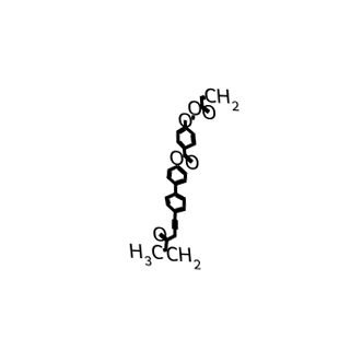 C=CC(=O)OCOc1ccc(C(=O)Oc2ccc(-c3ccc(C#CCC(=O)C(=C)C)cc3)cc2)cc1